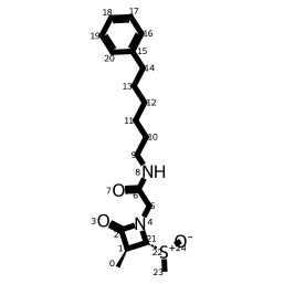 C[C@H]1C(=O)N(CC(=O)NCCCCCCc2ccccc2)[C@@H]1[S+](C)[O-]